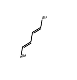 CCCCC=CC=CC(C)CC